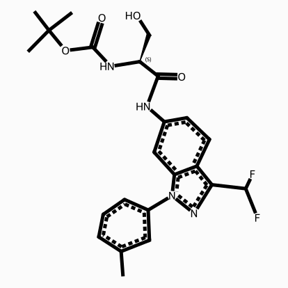 Cc1cccc(-n2nc(C(F)F)c3ccc(NC(=O)[C@H](CO)NC(=O)OC(C)(C)C)cc32)c1